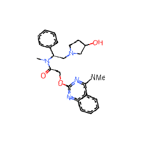 CNc1nc(OCC(=O)N(C)[C@H](CN2CCC(O)C2)c2ccccc2)nc2ccccc12